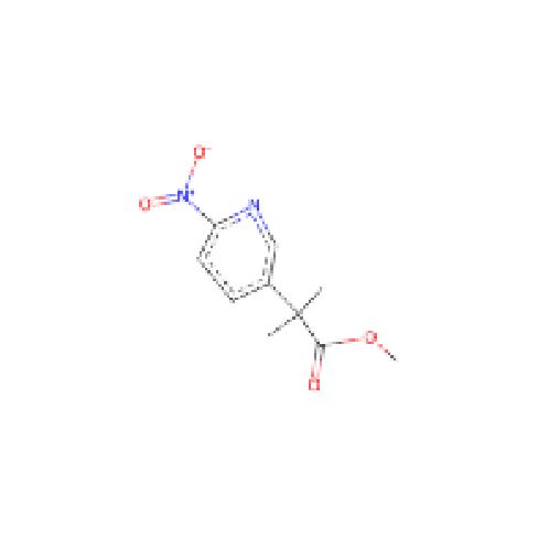 COC(=O)C(C)(C)c1ccc([N+](=O)[O-])nc1